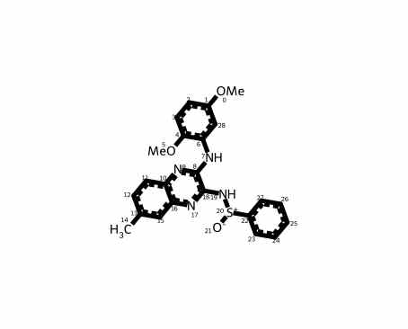 COc1ccc(OC)c(Nc2nc3ccc(C)cc3nc2N[S+]([O-])c2ccccc2)c1